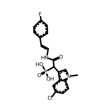 Cn1cc(C(C(=O)NC=Cc2ccc(F)cc2)P(=O)(O)O)c2cc(Cl)ccc21